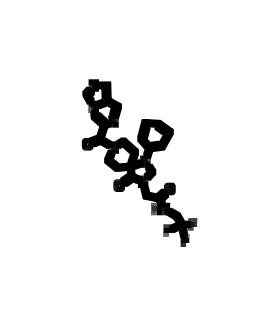 O=C(CN1CN(c2ccccc2)C2(CCN(C(=O)c3cn4cncc4cn3)CC2)C1=O)NCC(F)(F)F